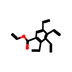 C=COC(=O)c1cc(C=C)c(C=C)c(C=C)c1C=C